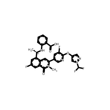 C[C@@H](Nc1ccccc1C(=O)O)c1cc(F)cc2c(=O)n(C)c(-c3cnc(Oc4cnn(C(F)F)c4)c(F)c3)cc12